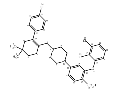 CC1(C)CCC(CN2CCN(c3ccc(C(=O)O)c(Oc4cccc(Cl)c4Cl)c3)CC2)=C(c2ccc(Cl)cc2)C1